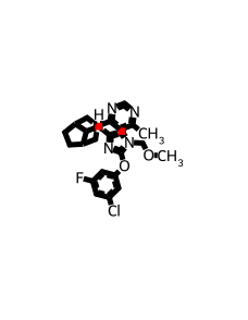 COCn1nc(NC2C3CCC2CN(c2cc(C)ncn2)C3)nc1Oc1cc(F)cc(Cl)c1